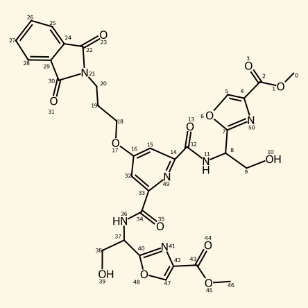 COC(=O)c1coc(C(CO)NC(=O)c2cc(OCCCN3C(=O)c4ccccc4C3=O)cc(C(=O)NC(CO)c3nc(C(=O)OC)co3)n2)n1